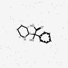 O=C(O)C(O)(c1ccccc1)[C@@H]1CCCCN1